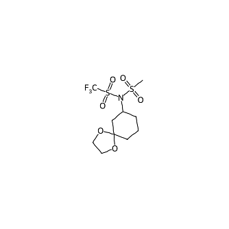 CS(=O)(=O)N(C1CCCC2(C1)OCCO2)S(=O)(=O)C(F)(F)F